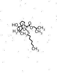 CCCCCCCSC[C@@H](C(=O)OCC(C)C)N1CCCC1(C(=O)O)C(=O)C(C)N